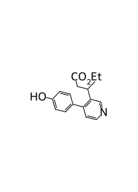 CCOC(=O)CC(C)c1cnccc1-c1ccc(O)cc1